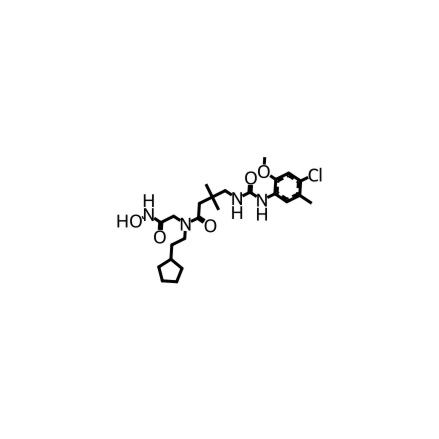 COc1cc(Cl)c(C)cc1NC(=O)NCC(C)(C)CC(=O)N(CCC1CCCC1)CC(=O)NO